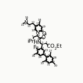 CCOC(=O)C[C@H](NC(=O)C(CC(C)C)n1cc(CCN(C)C)c(C)cc1=O)c1cc(-c2c(C)cc(C)cc2C)cc(C)c1F